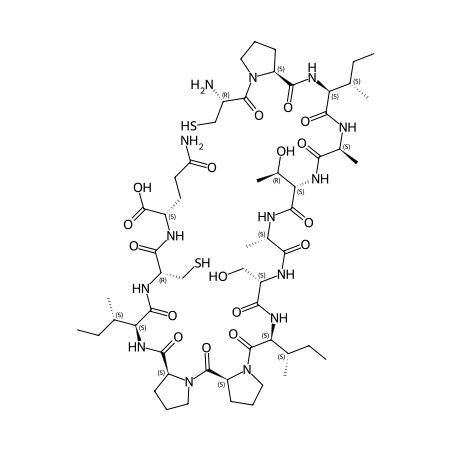 CC[C@H](C)[C@H](NC(=O)[C@@H]1CCCN1C(=O)[C@@H](N)CS)C(=O)N[C@@H](C)C(=O)N[C@H](C(=O)N[C@@H](C)C(=O)N[C@@H](CO)C(=O)N[C@H](C(=O)N1CCC[C@H]1C(=O)N1CCC[C@H]1C(=O)N[C@H](C(=O)N[C@@H](CS)C(=O)N[C@@H](CCC(N)=O)C(=O)O)[C@@H](C)CC)[C@@H](C)CC)[C@@H](C)O